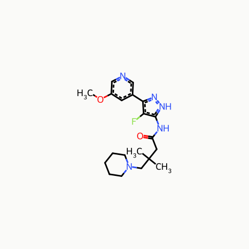 COc1cncc(-c2n[nH]c(NC(=O)CC(C)(C)CN3CCCCC3)c2F)c1